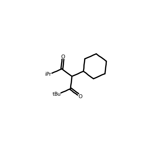 CC(C)C(=O)C(C(=O)C(C)(C)C)C1CCCCC1